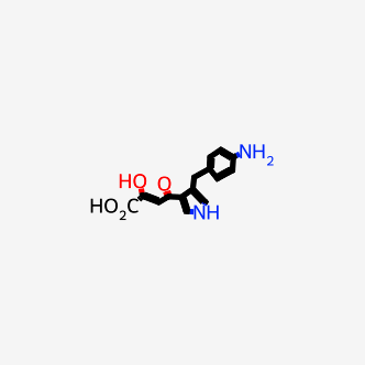 Nc1ccc(Cc2c[nH]cc2C(=O)C=C(O)C(=O)O)cc1